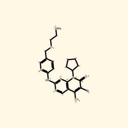 COCCOCc1ccc(Nc2ncc3c(C)c(Br)c(=O)n(C4CCCC4)c3n2)nc1